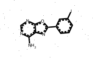 Nc1ncnc2oc(-c3cccc(I)c3)nc12